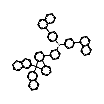 c1cc(-c2cccc3c2-c2ccccc2C3(c2ccc3ccccc3c2)c2ccc3ccccc3c2)cc(N(c2ccc(-c3cccc4ccccc34)cc2)c2ccc(-c3cccc4ccccc34)cc2)c1